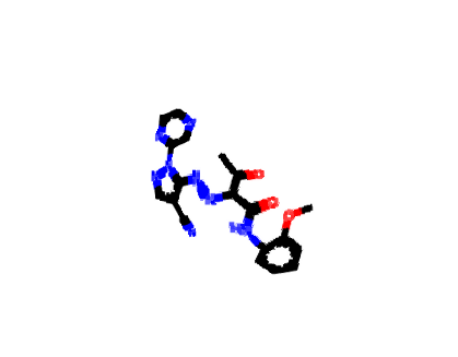 COc1ccccc1NC(=O)C(N=Nc1c(C#N)cnn1-c1cnccn1)C(C)=O